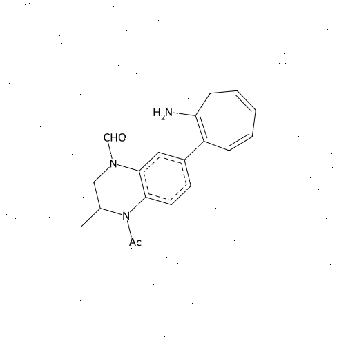 CC(=O)N1c2ccc(C3=C(N)CC=CC=C3)cc2N(C=O)CC1C